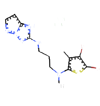 Cc1c(N(C)CCCNc2nn3nccc3[nH]2)sc(Br)c1Br.Cl.Cl